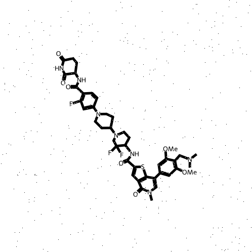 COc1cc(-c2cn(C)c(=O)c3cc(C(=O)NC4CCN(C5CCN(c6ccc(C(=O)NC7CCC(=O)NC7=O)c(F)c6)CC5)CC4(F)F)sc23)cc(OC)c1CN(C)C